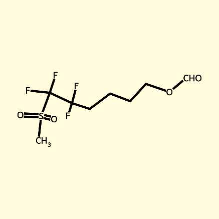 CS(=O)(=O)C(F)(F)C(F)(F)CCCCOC=O